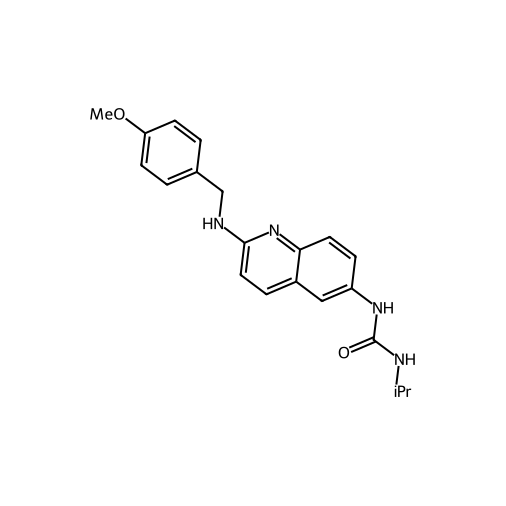 COc1ccc(CNc2ccc3cc(NC(=O)NC(C)C)ccc3n2)cc1